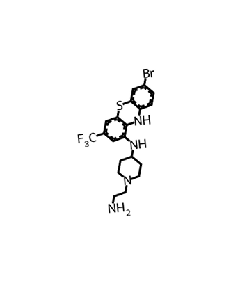 NCCN1CCC(Nc2cc(C(F)(F)F)cc3c2Nc2ccc(Br)cc2S3)CC1